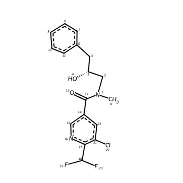 CN(C[C@H](O)Cc1ccccc1)C(=O)c1cnc(C(F)F)c(Cl)c1